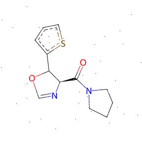 O=C([C@H]1N=COC1c1cccs1)N1CCCC1